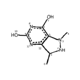 C[C]1NN(C)c2c(O)nc(O)nc21